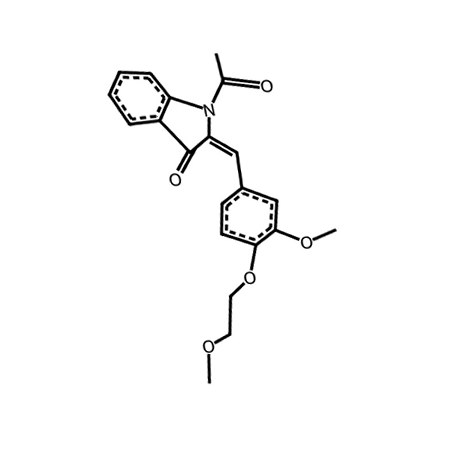 COCCOc1ccc(C=C2C(=O)c3ccccc3N2C(C)=O)cc1OC